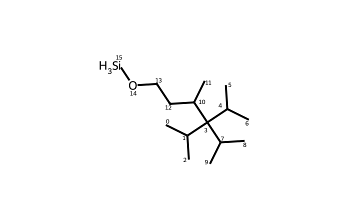 CC(C)C(C(C)C)(C(C)C)C(C)CCO[SiH3]